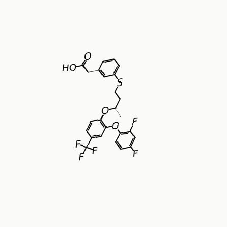 C[C@@H](CCSc1cccc(CC(=O)O)c1)Oc1ccc(C(F)(F)F)cc1Oc1ccc(F)cc1F